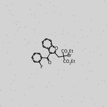 CCOC(=O)C(Br)(Cc1oc2ccccc2c1C(=O)c1ccccc1F)C(=O)OCC